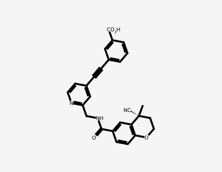 C[C@@]1(C#N)CCOc2ccc(C(=O)NCc3cc(C#Cc4cccc(C(=O)O)c4)ccn3)cc21